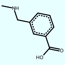 CNCc1cccc(C(=O)O)c1